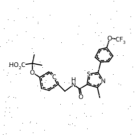 Cc1nc(-c2ccc(OC(F)(F)F)cc2)sc1C(=O)NCc1ccc(OC(C)(C)C(=O)O)cc1